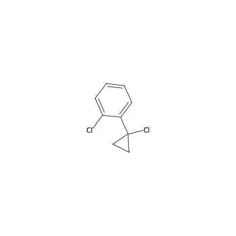 Clc1ccccc1C1(Cl)CC1